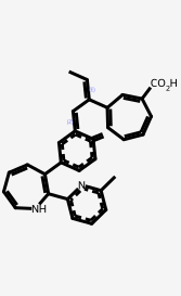 C=c1ccc(C2=C(c3cccc(C)n3)NC=CC=C2)c/c1=C/C(=C\C)C1=CC=C=CC(C(=O)O)=C1